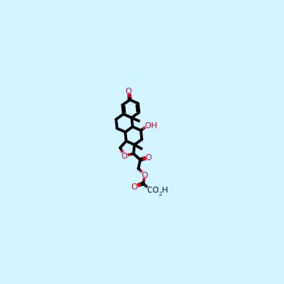 CC12C=CC(=O)C=C1CCC1C2C(O)CC2(C)C(C(=O)COC(=O)C(=O)O)OCC12